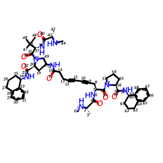 CN[C@@H](C)C(=O)N[C@@H](CC#CC#CCCC(=O)N[C@H]1C[C@@H](C(=O)N[C@@H]2CCCc3ccccc32)N(C(=O)[C@@H](NC(=O)[C@H](C)NC)C(C)(C)C)C1)C(=O)N1CCC[C@H]1C(=O)N[C@@H]1CCCc2ccccc21